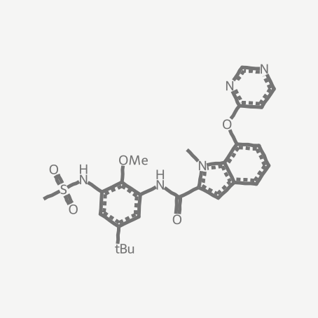 COc1c(NC(=O)c2cc3cccc(Oc4ccncn4)c3n2C)cc(C(C)(C)C)cc1NS(C)(=O)=O